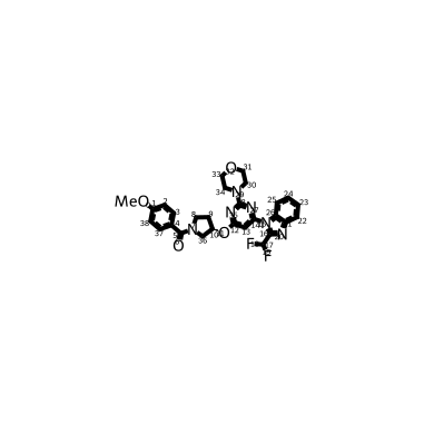 COc1ccc(C(=O)N2CC[C@H](Oc3cc(-n4c(C(F)F)nc5ccccc54)nc(N4CCOCC4)n3)C2)cc1